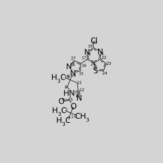 CC(C)(C)OC(=O)NCC(C)(CC#N)n1cc(-c2nc(Cl)nc3ccsc23)cn1